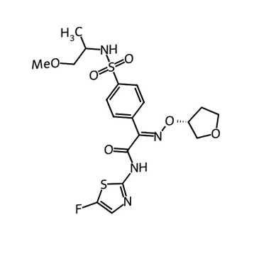 COCC(C)NS(=O)(=O)c1ccc(/C(=N\O[C@@H]2CCOC2)C(=O)Nc2ncc(F)s2)cc1